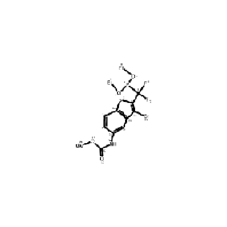 CCOP(OCC)C(F)(F)c1sc2ccc(NC(=O)OC(C)(C)C)cc2c1Br